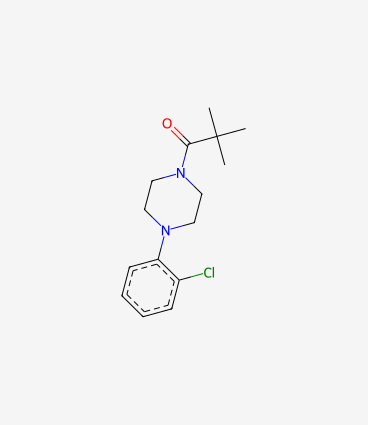 CC(C)(C)C(=O)N1CCN(c2ccccc2Cl)CC1